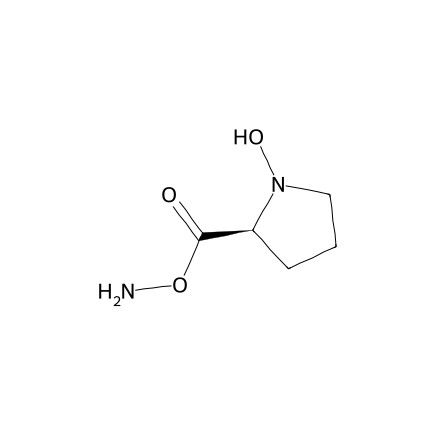 NOC(=O)[C@@H]1CCCN1O